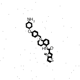 Cn1c(C(=O)Nc2cccc3c2CCCN3Cc2ccc(O[C@H]3CC[C@H](N)CC3)cc2)cc2sccc21